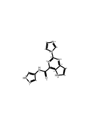 O=C(Nc1cn[nH]c1)c1nc(-n2ccnc2)nc2cc[nH]c12